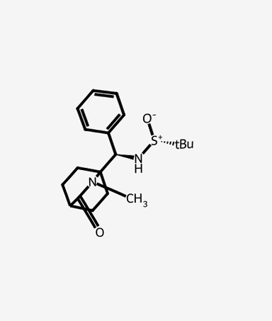 CN1C(=O)C2CCC1([C@H](N[S@+]([O-])C(C)(C)C)c1ccccc1)CC2